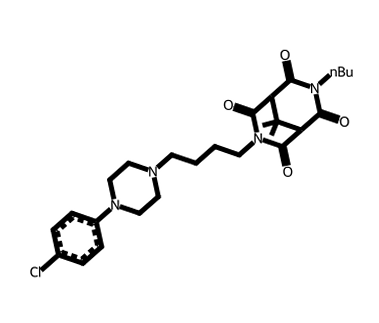 CCCCN1C(=O)C2C(=O)N(CCCCN3CCN(c4ccc(Cl)cc4)CC3)C(=O)C(C1=O)C2(C)C